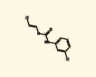 O=C(Nc1cccc(Cl)c1)OC=CCl